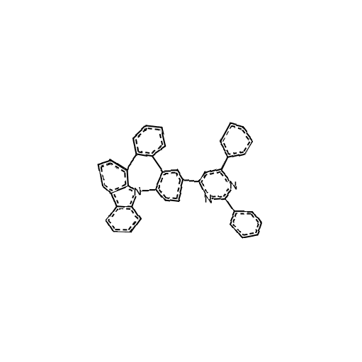 c1ccc(-c2cc(-c3ccc4c(c3)-c3ccccc3-c3cccc5c6ccccc6n-4c35)nc(-c3ccccc3)n2)cc1